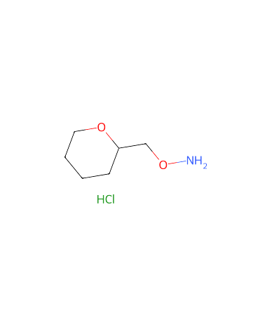 Cl.NOCC1CCCCO1